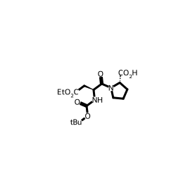 CCOC(=O)C[C@H](NC(=O)OC(C)(C)C)C(=O)N1CCC[C@H]1C(=O)O